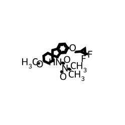 COC1CCC2(CC1)Cc1ccc(OCC3CC3(F)F)cc1C2NC(=O)N(C=O)C(C)C